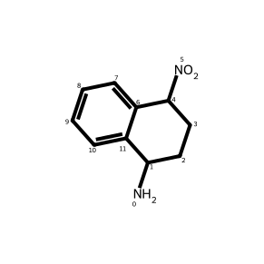 NC1CCC([N+](=O)[O-])c2ccccc21